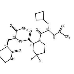 NC(=O)[C@H](C[C@@H]1CCCNC1=O)NC(=O)[C@@H]1CC(F)(F)CCN1C(=O)[C@H](CC1CCC1)NC(=O)C(F)(F)F